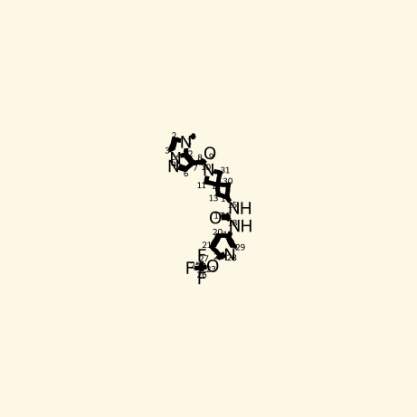 Cn1ccn2ncc(C(=O)N3CC4(CC(NC(=O)Nc5ccc(OC(F)(F)F)nc5)C4)C3)c12